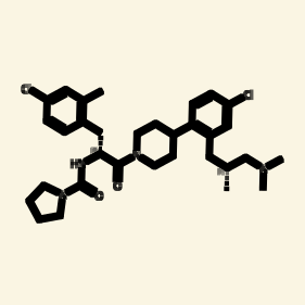 Cc1cc(Cl)ccc1C[C@@H](NC(=O)N1CCCC1)C(=O)N1CCC(c2ccc(Cl)cc2C[C@@H](C)CN(C)C)CC1